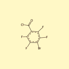 O=C(Cl)c1c(F)c(F)c(Br)c(F)c1F